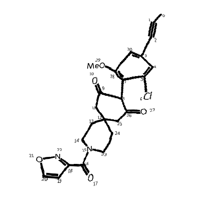 CC#Cc1cc(Cl)c(C2C(=O)CC3(CCN(C(=O)c4ccon4)CC3)CC2=O)c(OC)c1